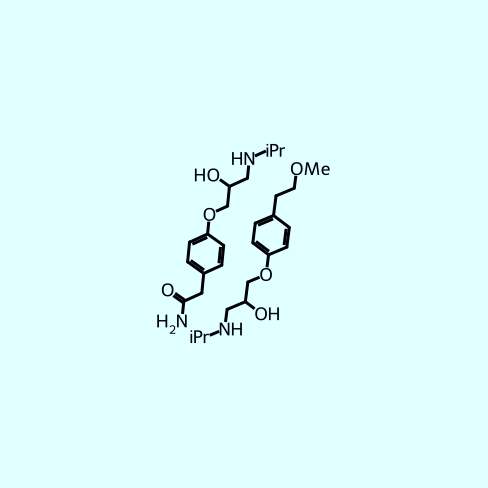 CC(C)NCC(O)COc1ccc(CC(N)=O)cc1.COCCc1ccc(OCC(O)CNC(C)C)cc1